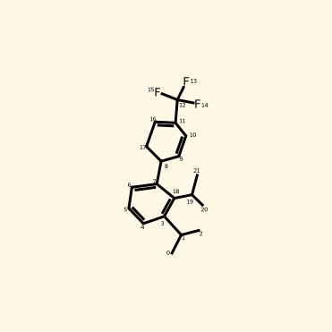 CC(C)c1cccc(C2C=CC(C(F)(F)F)=CC2)c1C(C)C